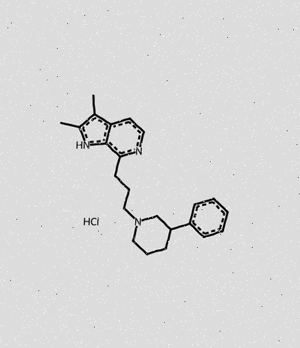 Cc1[nH]c2c(CCCN3CCCC(c4ccccc4)C3)nccc2c1C.Cl